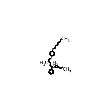 CCCCCCCC[C@H]1CC[C@H](CCC(C)CCC([SiH2]CCCCC)c2ccccc2)CC1